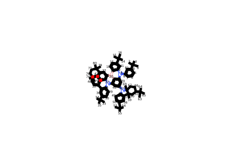 CC(C)(C)c1cccc(N2c3cc(C(C)(C)C)ccc3B3c4cc5c(cc4N(c4ccc(C(C)(C)C)cc4-c4ccccc4)c4cc(N6c7ccc(C(C)(C)C)cc7C7(C)CC(C(C)(C)C)CCC67C)cc2c43)C(C)(C)CCC5(C)C)c1